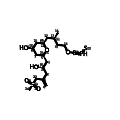 C=C(C[C@H](O)C[C@H]1C[C@@H](O)C[C@@H](C[C@@H](C)CCOB=[PH]=S)O1)CS(C)(=O)=O